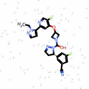 CCn1nccc1-c1cc(OC2CN(C(O)N3N=CC[C@H]3c3cc(F)cc(C#N)c3)C2)c(F)cn1